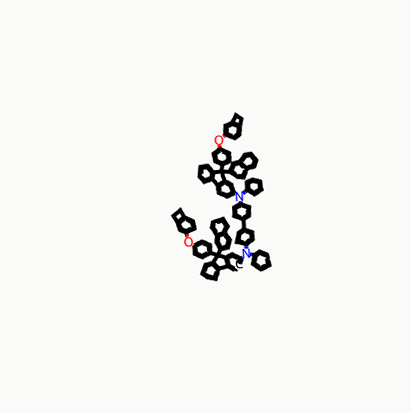 c1ccc(N(c2ccc(-c3ccc(N(c4ccccc4)c4ccc5c(c4)C(c4ccc(Oc6ccc7c(c6)CC7)cc4)(c4ccc6ccccc6c4)c4ccccc4-5)cc3)cc2)c2ccc3c(c2)C(c2ccc(Oc4ccc5c(c4)CC5)cc2)(c2ccc4ccccc4c2)c2ccccc2-3)cc1